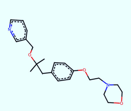 CC(C)([CH]c1ccc(OCCN2CCOCC2)cc1)OCc1cccnc1